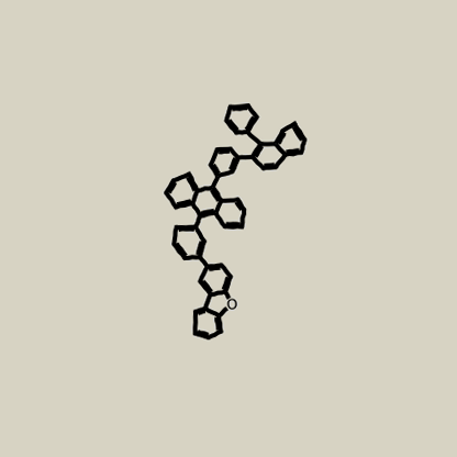 c1ccc(-c2c(-c3cccc(-c4c5ccccc5c(-c5cccc(-c6ccc7oc8ccccc8c7c6)c5)c5ccccc45)c3)ccc3ccccc23)cc1